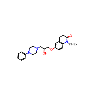 CCCCCCN1C(=O)CCc2cc(OCC(O)CN3CCN(c4ccccc4)CC3)ccc21